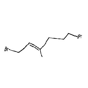 C/C(=C\CBr)CCCC(C)C